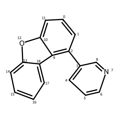 [c]1cc(-c2cccnc2)c2c(c1)oc1ccccc12